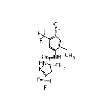 [C-]#[N+]c1cc(CC)c(NC(=O)C2(C)CC(C(F)(F)F)=NN2)cc1C(F)(F)F